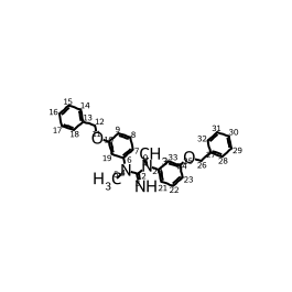 CN(C(=N)N(C)c1cccc(OCc2ccccc2)c1)c1cccc(OCc2ccccc2)c1